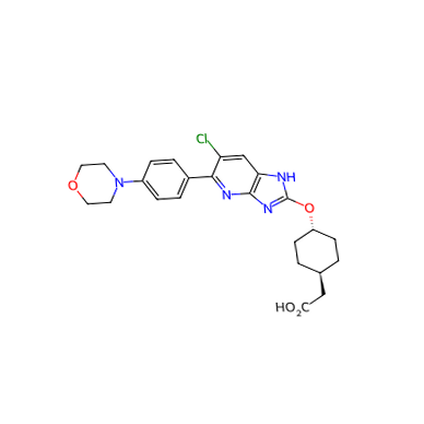 O=C(O)C[C@H]1CC[C@H](Oc2nc3nc(-c4ccc(N5CCOCC5)cc4)c(Cl)cc3[nH]2)CC1